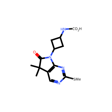 CSc1ncc2c(n1)N(C1CC(NC(=O)O)C1)C(=O)C2(C)C